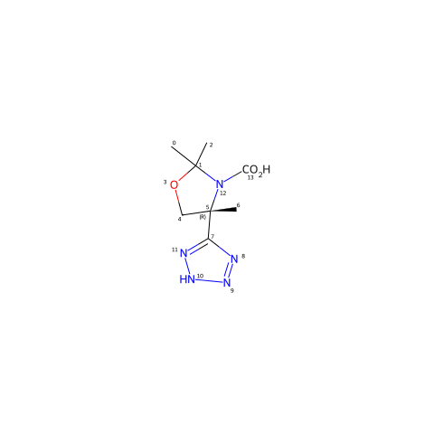 CC1(C)OC[C@@](C)(c2nn[nH]n2)N1C(=O)O